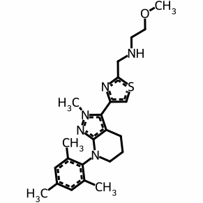 COCCNCc1nc(-c2c3c(nn2C)N(c2c(C)cc(C)cc2C)CCC3)cs1